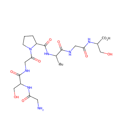 CCC(C)C(NC(=O)C1CCCN1C(=O)CNC(=O)C(CO)NC(=O)CN)C(=O)NCC(=O)NC(CO)C(=O)O